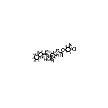 O=C(COc1ccc(Cl)c(F)c1)NC12CCC(NC(=O)c3cnc4ccccc4n3)(CC1)[C@@H](O)C2